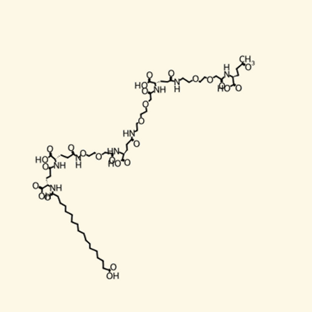 CC(=O)CC[C@H](NC(=O)COCCOCCNC(=O)CC[C@H](NC(=O)COCCOCCNC(=O)CC[C@H](NC(=O)COCCONC(=O)CC[C@H](NC(=O)CC[C@H](NC(=O)CCCCCCCCCCCCCCCCC(=O)O)C(=O)O)C(=O)O)C(=O)O)C(=O)O)C(=O)O